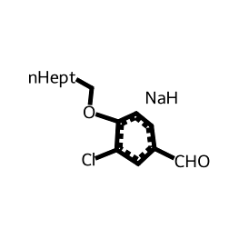 CCCCCCCCOc1ccc(C=O)cc1Cl.[NaH]